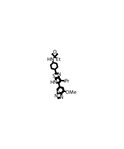 CCC1(NC2CCC(c3nc4c(C(C)C)c(-c5cc(OC)c6ncnn6c5)[nH]c4s3)CC2)COC1